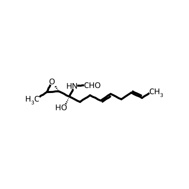 C/C=C/C/C=C/CC[C@](O)(NC=O)[C@H]1OC1C